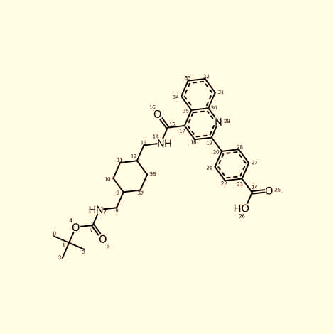 CC(C)(C)OC(=O)NCC1CCC(CNC(=O)c2cc(-c3ccc(C(=O)O)cc3)nc3ccccc23)CC1